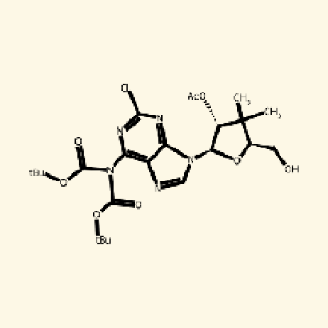 CC(=O)O[C@H]1[C@H](n2cnc3c(N(C(=O)OC(C)(C)C)C(=O)OC(C)(C)C)nc(Cl)nc32)O[C@H](CO)C1(C)C